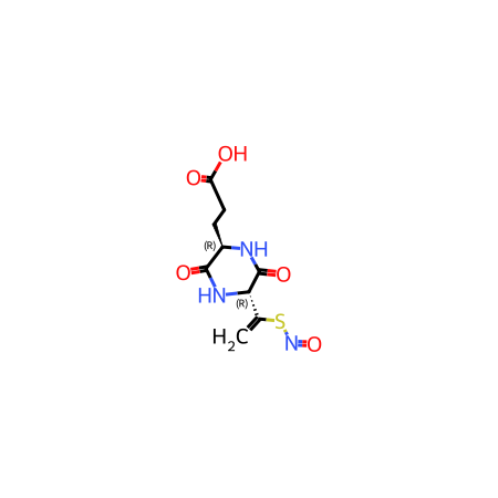 C=C(SN=O)[C@@H]1NC(=O)[C@@H](CCC(=O)O)NC1=O